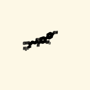 C=N/C(C=O)=C\C=C(/C)Nc1ccc(-c2ccc(O)cc2)c(C(F)(F)F)c1